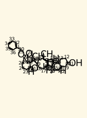 CC1=C2C[C@H]3[C@@H](CC[C@@H]4C[C@@H](O)CC[C@@]43C)[C@@H]2CCC2(C1)O[C@@H]1CCCN(C(=O)OCc3ccccc3)[C@H]1[C@H]2C